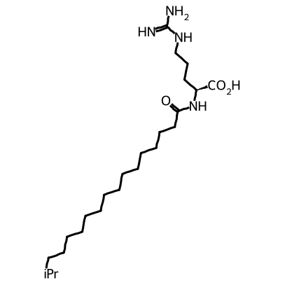 CC(C)CCCCCCCCCCCCCCC(=O)N[C@@H](CCCNC(=N)N)C(=O)O